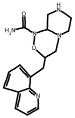 NC(=O)N1OC(Cc2cccc3cccnc23)CN2CCNCC21